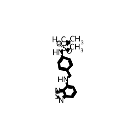 CC(C)(C)S(=O)(=O)Nc1ccc(CNc2cccc3nsnc23)cc1